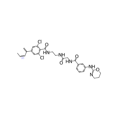 C=C(/C=C\C)c1cc(Cl)c(C(=O)NCCNC(=O)CNC(=O)c2cccc(NC3=NCCCO3)c2)c(Cl)c1